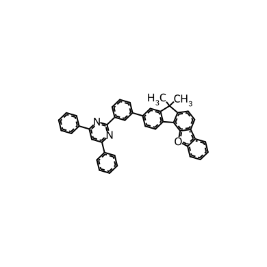 CC1(C)c2cc(-c3cccc(-c4nc(-c5ccccc5)cc(-c5ccccc5)n4)c3)ccc2-c2c1ccc1c2oc2ccccc21